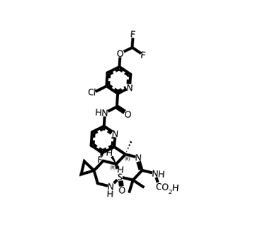 CC1(C)C(NC(=O)O)=N[C@](C)(c2nc(NC(=O)c3ncc(OC(F)F)cc3Cl)ccc2F)[C@H]2CC3(CC3)CN[SH]21=O